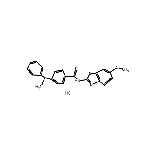 COc1ccc2nc(NC(=O)c3ccc([C@@H](N)c4ccccc4)cc3)sc2c1.Cl